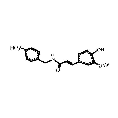 COc1cc(/C=C/C(=O)NCc2ccc(C(=O)O)cc2)ccc1O